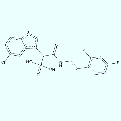 O=C(NC=Cc1ccc(F)cc1F)C(c1csc2ccc(Cl)cc12)P(=O)(O)O